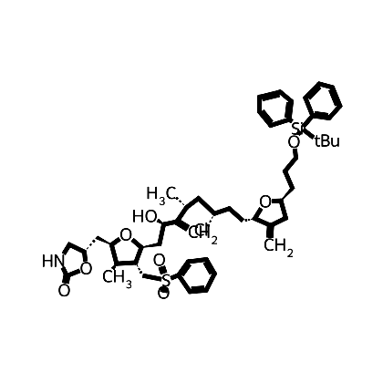 C=C([C@H](C)C[C@@H](Cl)CC[C@@H]1O[C@@H](CCCO[Si](c2ccccc2)(c2ccccc2)C(C)(C)C)CC1=C)[C@H](O)C[C@@H]1O[C@H](C[C@H]2CNC(=O)O2)[C@H](C)[C@H]1CS(=O)(=O)c1ccccc1